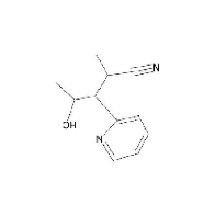 CC(O)C(c1ccccn1)C(C)C#N